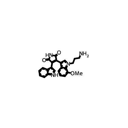 COc1cccc2c(C3=C(c4c[nH]c5ccccc45)C(=O)NC3=O)cn(CCCN)c12